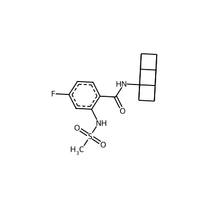 CS(=O)(=O)Nc1cc(F)ccc1C(=O)NC12C3C4C5C3C1C5C42